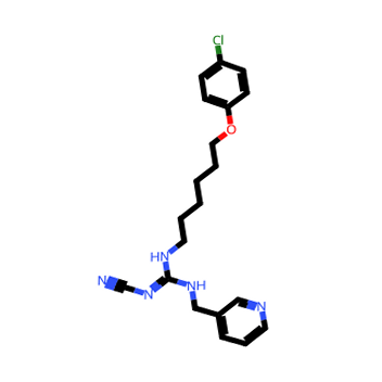 N#C/N=C(\NCCCCCCOc1ccc(Cl)cc1)NCc1cccnc1